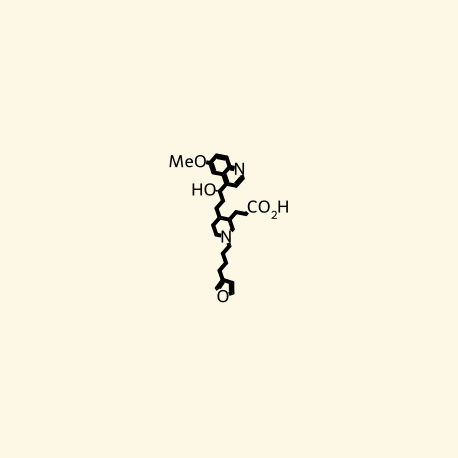 COc1ccc2nccc([C@@H](O)CCC3CCN(CCCCc4ccoc4)CC3CCC(=O)O)c2c1